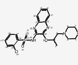 CC(CN1CCOCC1)Oc1nc2ccccc2nc1NS(=O)(=O)c1ccccc1Cl